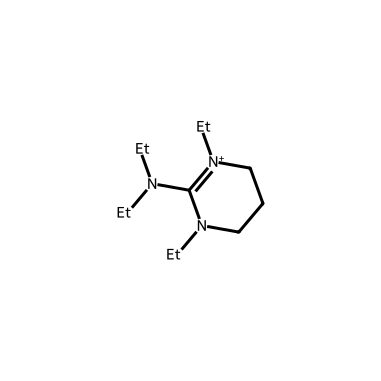 CCN(CC)C1=[N+](CC)CCCN1CC